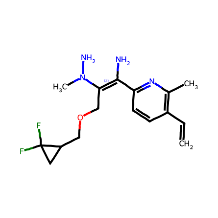 C=Cc1ccc(/C(N)=C(\COCC2CC2(F)F)N(C)N)nc1C